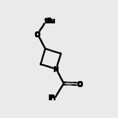 CC(C)C(=O)N1CC(OC(C)(C)C)C1